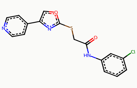 O=C(CSc1nc(-c2ccncc2)co1)Nc1cccc(Cl)c1